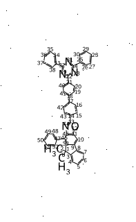 CC1(C)c2ccccc2-c2cc3oc(-c4ccc(-c5ccc(-c6nc(-c7ccccc7)nc(-c7ccccc7)n6)cc5)cc4)nc3c(-c3ccccc3)c21